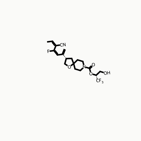 C=C(/C=C(F)\C(C#N)=C/C)[C@H]1COC2(CCN(C(=O)O[C@H](CO)C(F)(F)F)CC2)C1